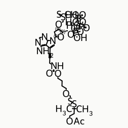 CC(=O)OCCC(C)(C)SSCOCCCCOC(=O)NCC#Cc1cn([C@H]2C[C@H](OCS(C)=S)[C@@H](COP(=O)(O)OP(=O)(O)OP(=O)(O)O)O2)c2ncnc(N)c12